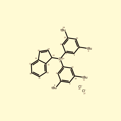 CC(C)(C)c1c[c]([Zr+2]([c]2cc(C(C)(C)C)cc(C(C)(C)C)c2)[CH]2C=Cc3ccccc32)cc(C(C)(C)C)c1.[Cl-].[Cl-]